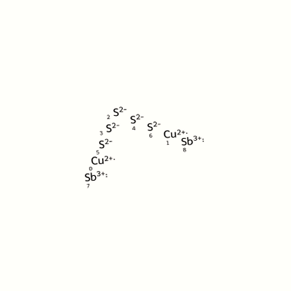 [Cu+2].[Cu+2].[S-2].[S-2].[S-2].[S-2].[S-2].[Sb+3].[Sb+3]